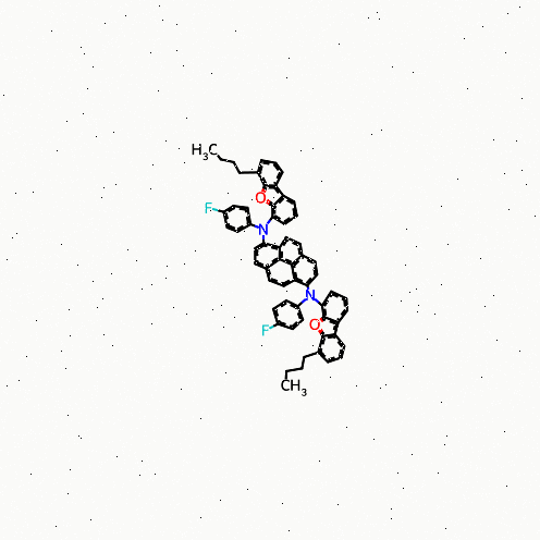 CCCCc1cccc2c1oc1c(N(c3ccc(F)cc3)c3ccc4ccc5c(N(c6ccc(F)cc6)c6cccc7c6oc6c(CCCC)cccc67)ccc6ccc3c4c65)cccc12